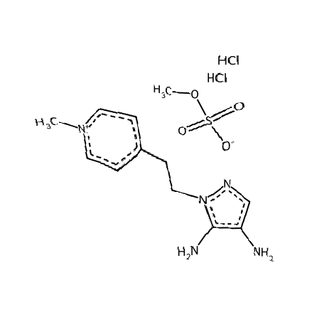 COS(=O)(=O)[O-].C[n+]1ccc(CCn2ncc(N)c2N)cc1.Cl.Cl